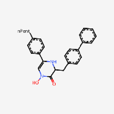 CCCCCc1ccc(C2=CN(O)C(=O)C(Cc3ccc(-c4ccccc4)cc3)N2)cc1